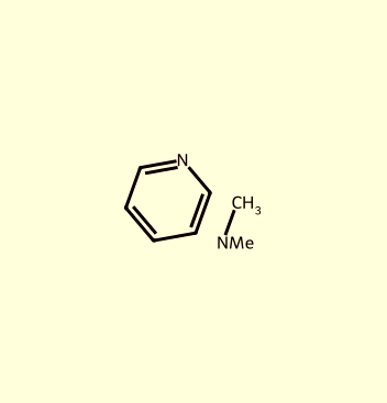 CNC.c1ccncc1